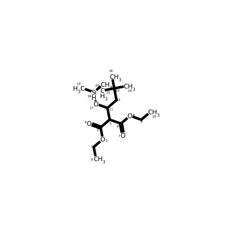 CCOC(=O)C(C(=O)OCC)C(CC(C)(C)C)O[SiH](C)C